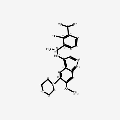 COc1cc2nncc(N[C@H](C)c3cccc(C(F)F)c3F)c2cc1N1CCOCC1